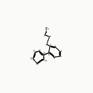 FCCCc1ccccc1-c1ccccc1